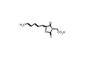 C/C=C/C=C/C=C1\SC(=S)N(CC(=O)O)C1=O